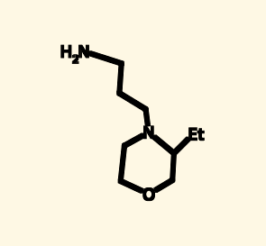 CCC1COCCN1CCCN